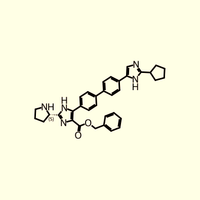 O=C(OCc1ccccc1)c1nc([C@@H]2CCCN2)[nH]c1-c1ccc(-c2ccc(-c3cnc(C4CCCC4)[nH]3)cc2)cc1